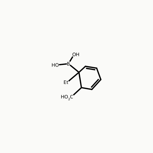 CCC1(B(O)O)C=CC=CC1C(=O)O